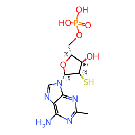 Cc1nc(N)c2ncn([C@@H]3O[C@H](COP(=O)(O)O)[C@@H](O)[C@H]3S)c2n1